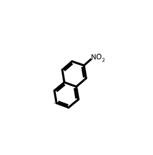 O=[N+]([O-])c1ccc2c[c]ccc2c1